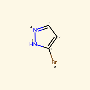 Brc1[c]cn[nH]1